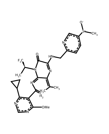 C=C(/N=C1\C(=C(C)C)N=C(NCc2ccc([S+](C)[O-])cn2)C(=O)N1[C@@H](C)C(F)(F)F)c1c(OC)ncnc1C1CC1